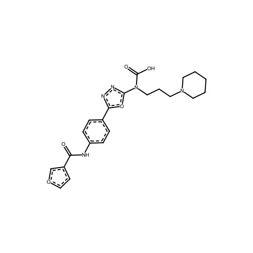 O=C(Nc1ccc(-c2nnc(N(CCCN3CCCCC3)C(=O)O)o2)cc1)c1ccoc1